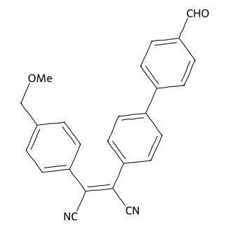 COCc1ccc(C(C#N)=C(C#N)c2ccc(-c3ccc(C=O)cc3)cc2)cc1